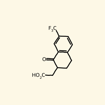 O=C(O)CC1CCc2ccc(C(F)(F)F)cc2C1=O